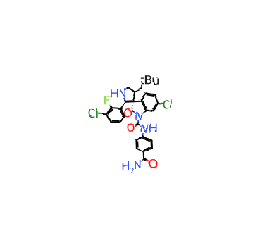 CC(C)(C)C[C@@H]1CN[C@H](c2cccc(Cl)c2F)[C@@]12C(=O)N(C(=O)Nc1ccc(C(N)=O)cc1)c1cc(Cl)ccc12